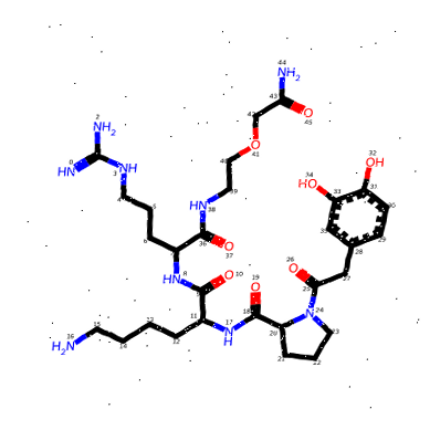 N=C(N)NCCCC(NC(=O)C(CCCCN)NC(=O)C1CCCN1C(=O)Cc1ccc(O)c(O)c1)C(=O)NCCOCC(N)=O